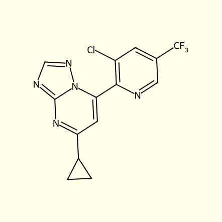 FC(F)(F)c1cnc(-c2cc(C3CC3)nc3ncnn23)c(Cl)c1